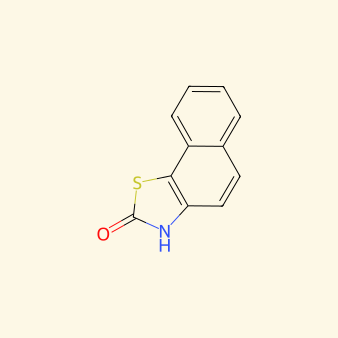 O=c1[nH]c2ccc3ccccc3c2s1